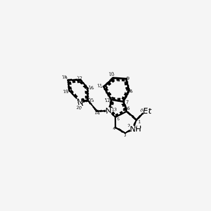 CCC1NCCc2c1c1ccccc1n2Cc1ccccn1